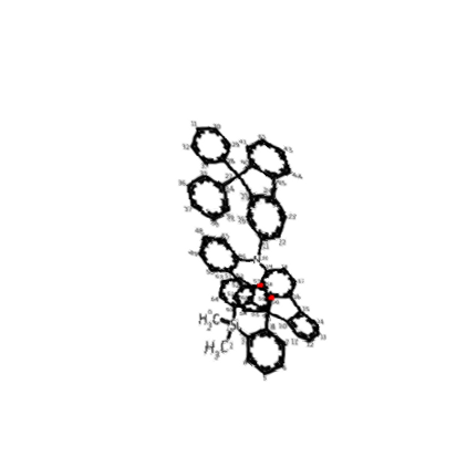 C[Si]1(C)c2ccccc2C2(c3ccccc3-c3ccc(N(c4ccc5c(c4)C(c4ccccc4)(c4ccccc4)c4ccccc4-5)c4ccccc4-c4ccccc4)cc32)c2ccccc21